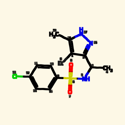 CCc1c(C(C)NS(=O)(=O)c2ccc(Cl)cc2)n[nH]c1C